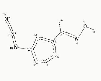 CO/N=C(\C)c1cccc(N=[N+]=[N-])c1